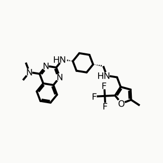 Cc1cc(CNC[C@H]2CC[C@@H](Nc3nc(N(C)C)c4ccccc4n3)CC2)c(C(F)(F)F)o1